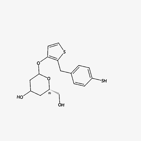 OC[C@@H]1CC(O)CC(Oc2ccsc2Cc2ccc(S)cc2)O1